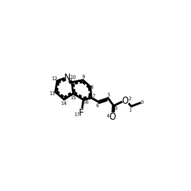 CCOC(=O)/C=C/c1ccc2ncccc2c1F